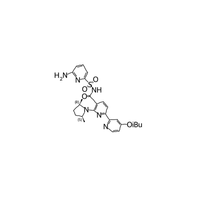 CC(C)COc1ccnc(-c2ccc(C(=O)NS(=O)(=O)c3cccc(N)n3)c(N3[C@H](C)CC[C@@H]3C)n2)c1